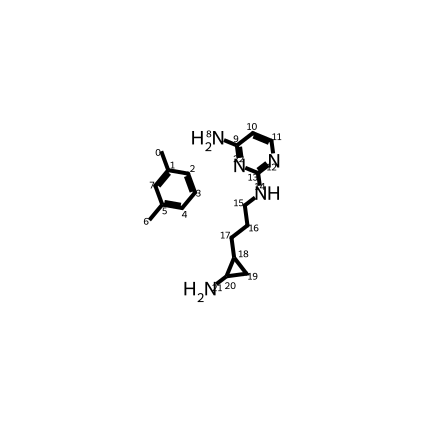 Cc1cccc(C)c1.Nc1ccnc(NCCCC2CC2N)n1